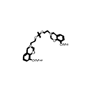 COc1cccc2c1OCN(CCOC(C)(C)OCCN1COc3c(cccc3OC)C1)C2